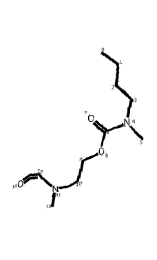 CCCCN(C)C(=O)OCCN(C)C=O